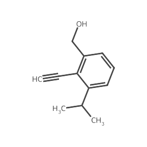 C#Cc1c(CO)cccc1[C](C)C